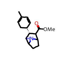 COC(=O)C1C2CCC(C[C@@H]1C1C=CC(C)=CC1)N2